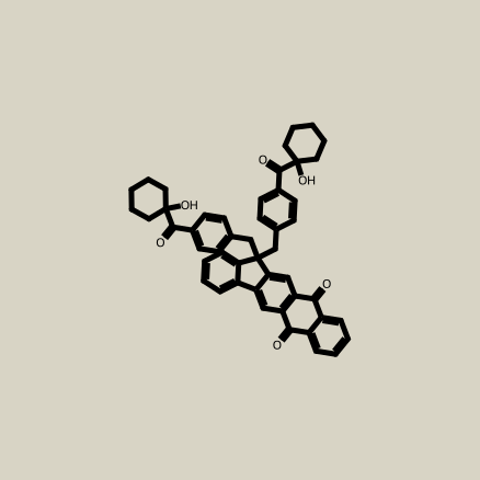 O=C1c2ccccc2C(=O)c2cc3c(cc21)-c1ccccc1C3(Cc1ccc(C(=O)C2(O)CCCCC2)cc1)Cc1ccc(C(=O)C2(O)CCCCC2)cc1